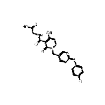 O=C(O)CNC(=O)C1=C(O)CCN(Cc2ccc(Sc3ccc(Cl)cc3)nc2)C1=O